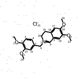 COc1ccc(C[N+]2=Cc3cc(OC)c(OC)cc3CC2)cc1OC.[Cl-]